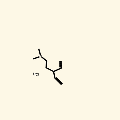 C=CC(C=C)CCN(C)C.Cl